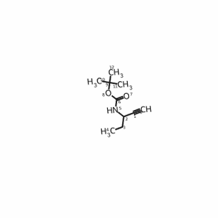 C#CC(CC)NC(=O)OC(C)(C)C